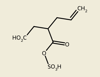 C=CCC(CC(=O)O)C(=O)OS(=O)(=O)O